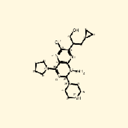 NN1c2nc(C(CO)CC3CC3)c(Cl)nc2C(N2CCCC2)=NC1N1CCNCC1